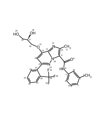 Cc1cncc(NC(=O)c2c(C)nc3c(OC[C@H](O)CO)cc(-c4ccccc4C(F)(F)F)nn23)c1